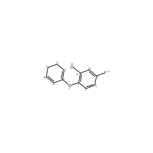 Fc1ccc(OC2=CCCC=C2)c(Cl)c1